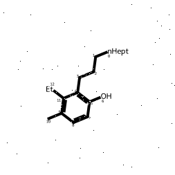 CCCCCCCCCCc1c(O)ccc(C)c1CC